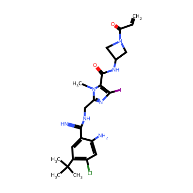 C=CC(=O)N1CC(NC(=O)c2c(I)nc(CNC(=N)c3cc(C(C)(C)C)c(Cl)cc3N)n2C)C1